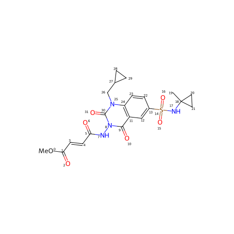 COC(=O)/C=C/C(=O)Nn1c(=O)c2cc(S(=O)(=O)NC3(C)CC3)ccc2n(CC2CC2)c1=O